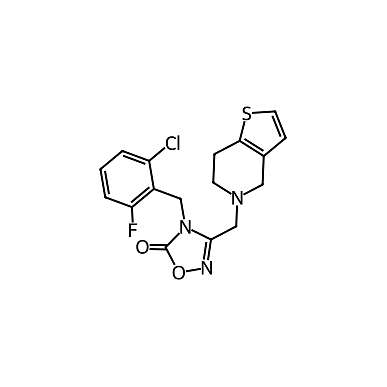 O=c1onc(CN2CCc3sccc3C2)n1Cc1c(F)cccc1Cl